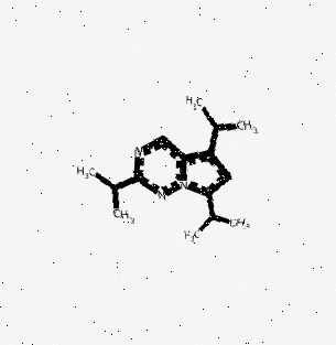 CC(C)c1ncc2c(C(C)C)cc(C(C)C)n2n1